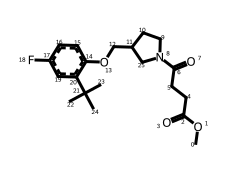 COC(=O)CCC(=O)N1CCC(COc2ccc(F)cc2C(C)(C)C)C1